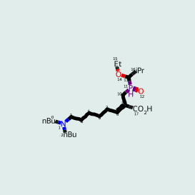 CCCCN(CCCC)CCCCCC=C(C[PH](=O)C(OCC)C(C)C)C(=O)O